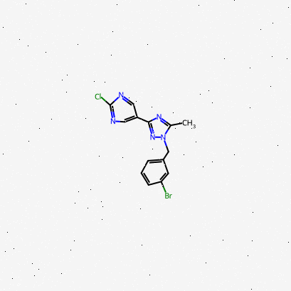 Cc1nc(-c2cnc(Cl)nc2)nn1Cc1cccc(Br)c1